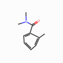 Cc1c[c]ccc1C(=O)N(C)C